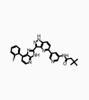 CC(C)(C)CC(=O)Nc1cncc(-c2ccc3[nH]nc(-c4nc5c(-c6ccccc6F)ccnc5[nH]4)c3n2)c1